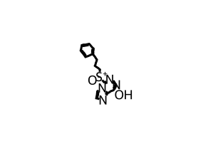 [O-][S+](CCCc1ccccc1)c1nnc(O)c2nccn12